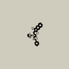 O=C1C(=Cc2cc3sc(-c4ccccc4)nc3n2-c2nccs2)C(=O)c2cc3ccccc3cc21